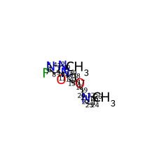 Cc1nc2cnc(F)cc2c(=O)n1-c1ccc(OCCCN2CCC[C@H](C)C2)cc1